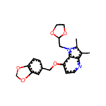 Cc1c(C)n(CC2OCCO2)c2c(OCc3ccc4c(c3)OCO4)ccnc12